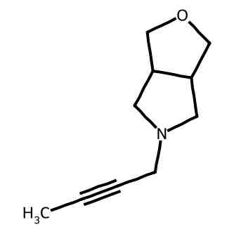 CC#CCN1CC2COCC2C1